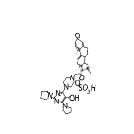 C[C@@H]1CC2C3CCC4=CC(=O)C=C[C@]4(C)C3=CC[C@]2(C)[C@H]1C(=O)CN1CCN(c2nc(N3CCCC3)nc(N3CCCC3)c2O)CC1OS(=O)(=O)O